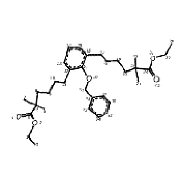 CCOC(=O)C(C)(C)CCCCc1cccc(CCCCC(C)(C)C(=O)OCC)c1OCc1ccccc1